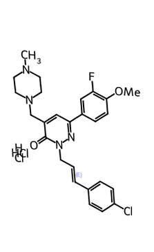 COc1ccc(-c2cc(CN3CCN(C)CC3)c(=O)n(C/C=C/c3ccc(Cl)cc3)n2)cc1F.Cl.Cl